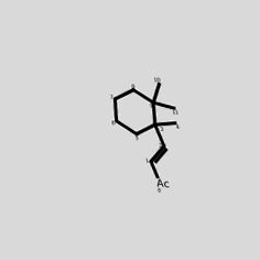 CC(=O)C=CC1(C)CCCCC1(C)C